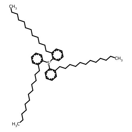 CCCCCCCCCCCCc1ccccc1[S+](c1ccccc1CCCCCCCCCCCC)c1ccccc1CCCCCCCCCCCC